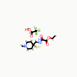 CCOC(=O)C(=O)NCC1(S)CCN(C)CC1.O=C(O)C(F)(F)F